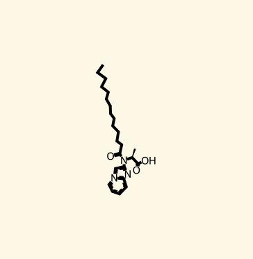 CCCCCCCCCCCCCC(=O)N(c1cn2ccccc2n1)[C@@H](C)C(=O)O